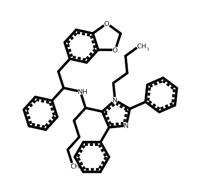 CCCCC(NC(Cc1ccc2c(c1)OCO2)c1ccccc1)c1c(-c2ccccc2)nc(-c2ccccc2)n1CCCC